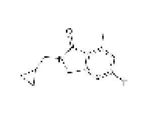 Cc1cc(F)cc2c1C(=O)N(CC1CC1)C2